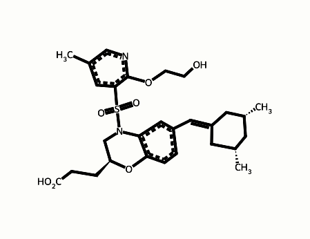 Cc1cnc(OCCO)c(S(=O)(=O)N2C[C@H](CCC(=O)O)Oc3ccc(/C=C4\C[C@@H](C)C[C@@H](C)C4)cc32)c1